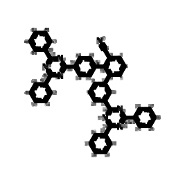 N#Cc1cccc(-c2cccc(-c3nc(-c4ccccc4)nc(-c4ccccc4)n3)c2)c1-c1ccc(-c2nc(-c3ccccc3)nc(-c3ccccc3)n2)cc1